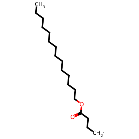 [CH2]CCC(=O)OCCCCCCCCCCCCCC